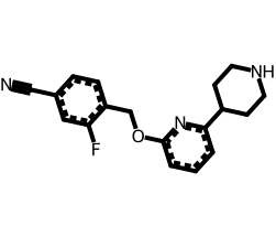 N#Cc1ccc(COc2cccc(C3CCNCC3)n2)c(F)c1